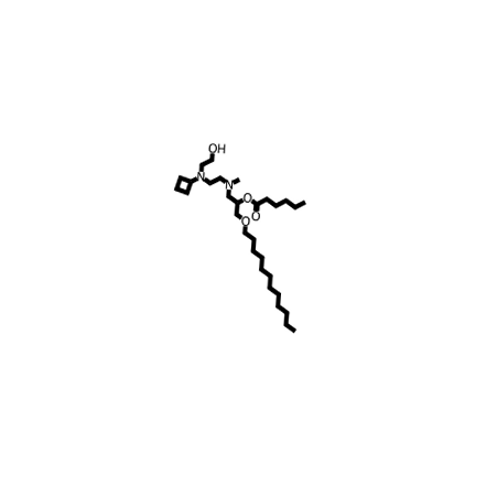 CCCCCCCCCCCCOCC(CN(C)CCN(CCO)C1CCC1)OC(=O)CCCCC